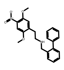 COc1cc([N+](=O)[O-])c(OC)cc1CCNCc1ccccc1-c1ccccc1